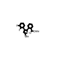 COC(=O)c1ccccc1-c1sc(C(C)(C)C)cc1-c1cccc(F)c1F